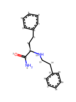 NC(=O)[C@@H](CCc1ccccc1)NCCc1ccccc1